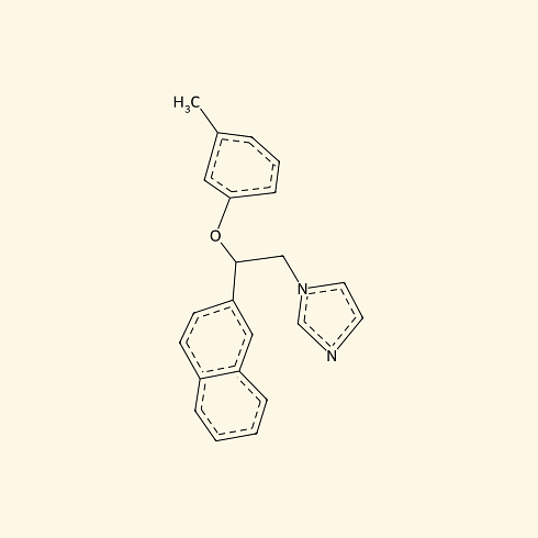 Cc1cccc(OC(Cn2ccnc2)c2ccc3ccccc3c2)c1